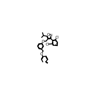 C=C/C=C\C(=C/C)OCc1cccc(OCc2c(-c3c(Cl)cccc3Cl)noc2C(C)C)c1